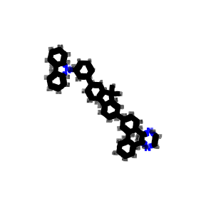 CC1(C)c2cc(-c3cccc(-n4c5ccccc5c5ccccc54)c3)ccc2-c2ccc(-c3ccc4c(c3)c3ccccc3c3nccnc43)cc21